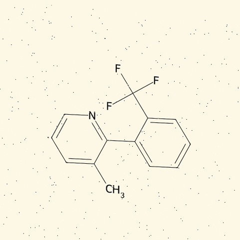 Cc1c[c]cnc1-c1ccccc1C(F)(F)F